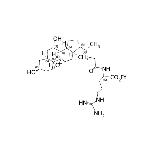 CCOC(=O)[C@H](CCCNC(=N)N)NC(=O)CC[C@@H](C)[C@H]1CC[C@H]2[C@@H]3[C@@H](O)C[C@@H]4C[C@H](O)CC[C@]4(C)[C@H]3CC[C@]12C